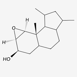 CC1CC(C)C2C1CCC1C[C@@H](O)[C@H]3O[C@H]3[C@@]12C